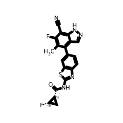 Cc1c(F)c(C#N)c2[nH]ncc2c1-c1ccc2nc(NC(=O)[C@@H]3C[C@@H]3F)sc2c1